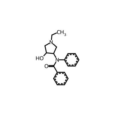 CCN1CC(O)C(N(C(=O)c2ccccc2)c2ccccc2)C1